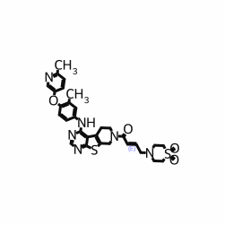 Cc1ccc(Oc2ccc(Nc3ncnc4sc5c(c34)CCN(C(=O)/C=C/CN3CCS(=O)(=O)CC3)C5)cc2C)cn1